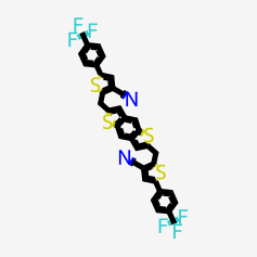 N#Cc1cc(-c2ccc(C(F)(F)F)cc2)sc1Cc1cc2cc3sc(Cc4sc(-c5ccc(C(F)(F)F)cc5)cc4C#N)cc3cc2s1